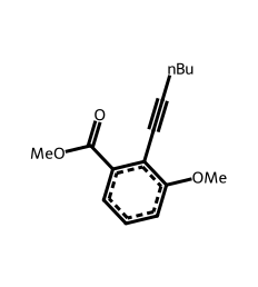 CCCCC#Cc1c(OC)cccc1C(=O)OC